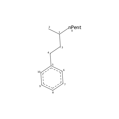 CCCCCC(C)[CH]Cc1ccccc1